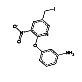 Nc1cccc(Oc2ncc(CI)cc2[N+](=O)[O-])c1